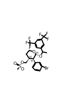 CC(O[C@H]1OCC[C@H](COS(C)(=O)=O)[C@@H]1c1cccc(Br)c1)c1cc(C(F)(F)F)cc(C(F)(F)F)c1